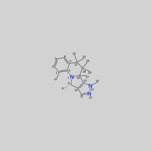 Cc1cccc2c1N1[C@@H](C)c3cnn(C)c3C1(C)C(C)(C)C2(C)C